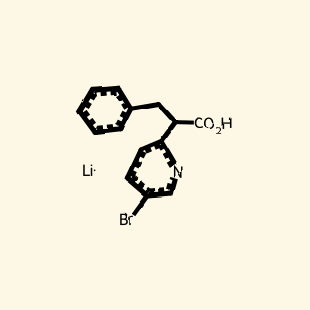 O=C(O)C(Cc1ccccc1)c1ccc(Br)cn1.[Li]